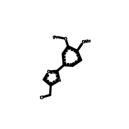 COc1ccc(-c2nc(CCl)co2)cc1OC(C)C